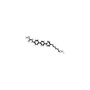 CCCCCCCc1cnc(-c2ccc(-c3ccc(CCC(=O)O)cc3)cc2)nc1